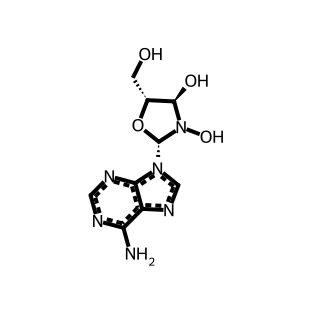 Nc1ncnc2c1ncn2[C@@H]1O[C@H](CO)[C@@H](O)N1O